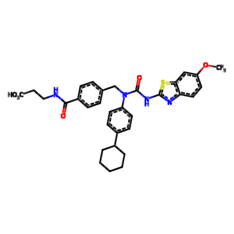 O=C(O)CCNC(=O)c1ccc(CN(C(=O)Nc2nc3ccc(OC(F)(F)F)cc3s2)c2ccc(C3CCCCC3)cc2)cc1